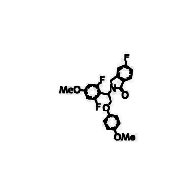 COc1ccc(OCC(c2c(F)cc(OC)cc2F)N2Cc3cc(F)ccc3C2=O)cc1